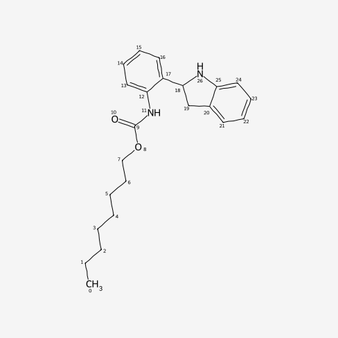 CCCCCCCCOC(=O)Nc1ccccc1C1Cc2ccccc2N1